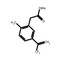 C=C(c1ccc(C)c(CC(=O)OC)c1)C(F)(F)F